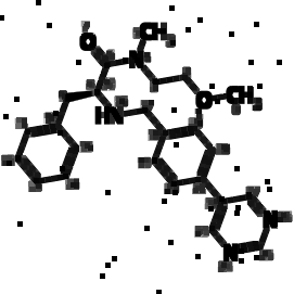 COCCN(C)C(=O)[C@H](Cc1ccccc1)NCc1ccc(-c2cncnc2)cc1